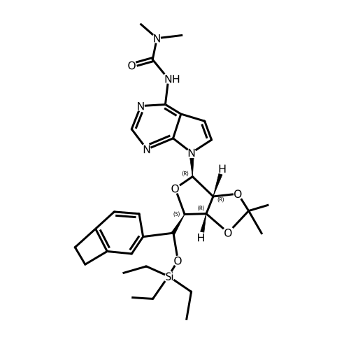 CC[Si](CC)(CC)OC(c1ccc2c(c1)CC2)[C@H]1O[C@@H](n2ccc3c(NC(=O)N(C)C)ncnc32)[C@@H]2OC(C)(C)O[C@@H]21